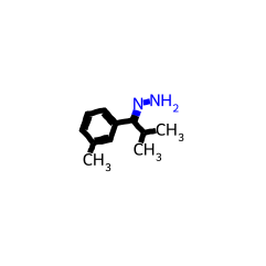 Cc1cccc(C(=NN)C(C)C)c1